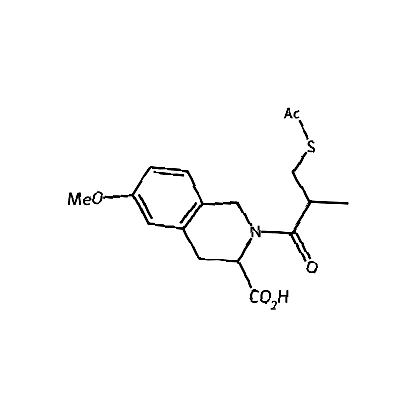 COc1ccc2c(c1)CC(C(=O)O)N(C(=O)C(C)CSC(C)=O)C2